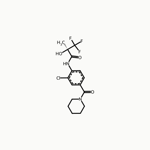 C[C@@](O)(C(=O)Nc1ccc(C(=O)N2CCCCC2)cc1Cl)C(F)(F)F